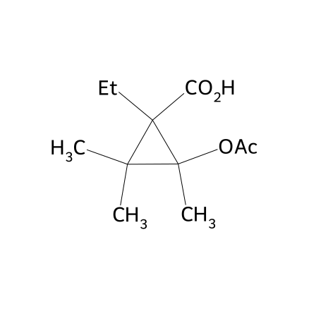 CCC1(C(=O)O)C(C)(C)C1(C)OC(C)=O